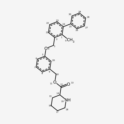 Cc1c(COc2cccc(COC(=O)C3CCCCN3)c2)cccc1-c1ccccc1